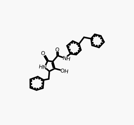 O=C(Nc1ccc(Cc2ccccc2)cc1)C1=C(O)C(Cc2ccccc2)NC1=O